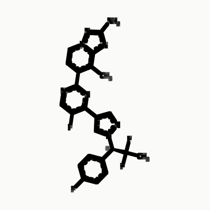 Cc1c(-c2ncc(F)c(-c3cnn([C@H](c4ccc(F)cc4)C(C)(F)F)c3)n2)ccn2nc(N)nc12